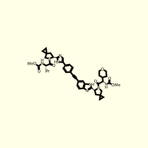 COC(=O)N[C@H](C(=O)N1CC2(CC2)C[C@H]1c1ncc(-c2ccc(C#Cc3ccc4nc([C@@H]5CC6(CC6)CN5C(=O)[C@@H](NC(=O)OC)C5CCOCC5)[nH]c4c3)cc2)[nH]1)C(C)C